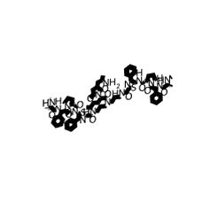 CCCCC(C(=O)N(CCCNC(=O)C1=NC(c2ccccc2)C(NC(=O)[C@@H]2CCCN2C(=O)[C@@H](NC(=O)[C@H](C)NC)C2CCCCC2)S1)CCCNC(=O)c1nc(-c2ccccc2)c(NC(=O)[C@@H]2CCCN2C(=O)[C@@H](NC(=O)[C@H](C)NC)C2CCCCC2)s1)N1C(=O)CC(CC(C)N)C1=O